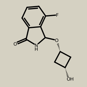 O=C1NC(O[C@H]2C[C@@H](O)C2)c2c(F)cccc21